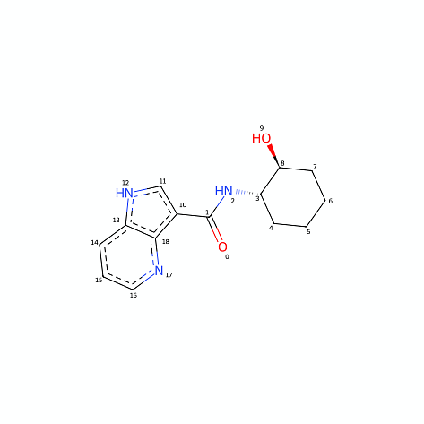 O=C(N[C@H]1CCCC[C@@H]1O)c1c[nH]c2cccnc12